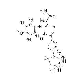 [2H]c1c([2H])c(-n2nc(C(N)=O)c3c2C(=O)N(c2ccc(N4C(=O)CC([2H])([2H])C([2H])([2H])C4([2H])[2H])cc2)CC3)c([2H])c([2H])c1OC